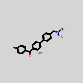 CN(C)Cc1ccc(-c2ccc(C(=O)c3ccc(I)cc3)cc2)cc1.Cl